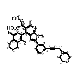 Cc1nc2c(cc(-c3ccnc(C#CCN4CCOCC4)c3)n2C)c(-c2cc(F)c3c(c2C)CCCO3)c1[C@H](OC(C)(C)C)C(=O)O